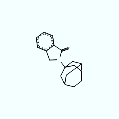 O=C1c2ccccc2CN1C12CCC3CC(CC(C3)C1)C2